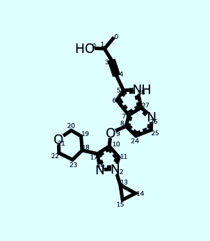 CC(O)C#Cc1cc2c(Oc3cn(C4CC4)nc3C3CCOCC3)ccnc2[nH]1